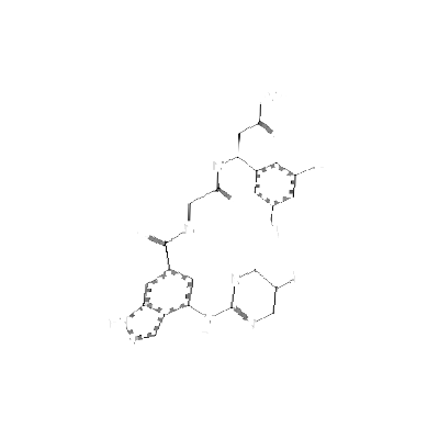 COC(=O)C[C@H](NC(=O)CNC(=O)c1cc(NC2=NCC(F)CN2)c2cn[nH]c2c1)c1cc(Cl)cc(Br)c1